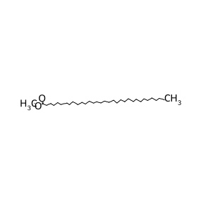 CCCCCCCCCCCCCCCCCCCCCCCCCCCCCCCCC(=O)OC